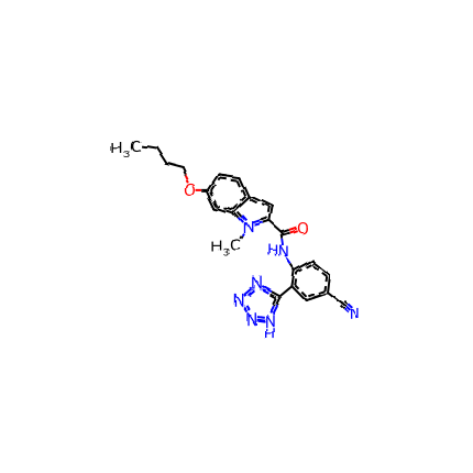 CCCCOc1ccc2cc(C(=O)Nc3ccc(C#N)cc3-c3nnn[nH]3)n(C)c2c1